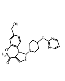 NC(=O)C1=CSC(N2CCC(Oc3ncccn3)CC2)N1c1ccc(CO)cc1Cl